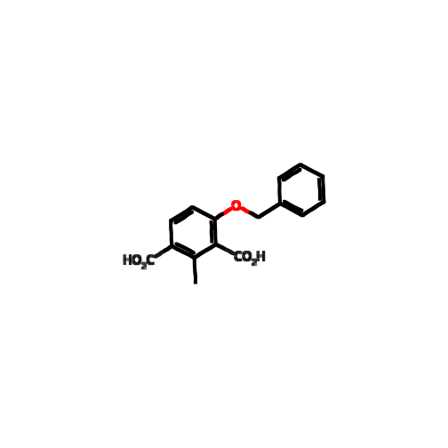 Cc1c(C(=O)O)ccc(OCc2ccccc2)c1C(=O)O